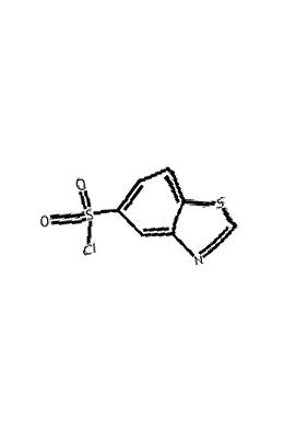 O=S(=O)(Cl)c1ccc2scnc2c1